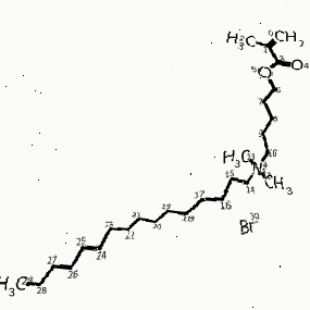 C=C(C)C(=O)OCCCCC[N+](C)(C)CCCCCCCCCCCCCCCC.[Br-]